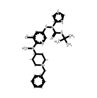 CN(c1ncc(SN(C(=O)OC(C)(C)C)c2cscn2)cc1Cl)C1CCN(Cc2ccccc2)CC1